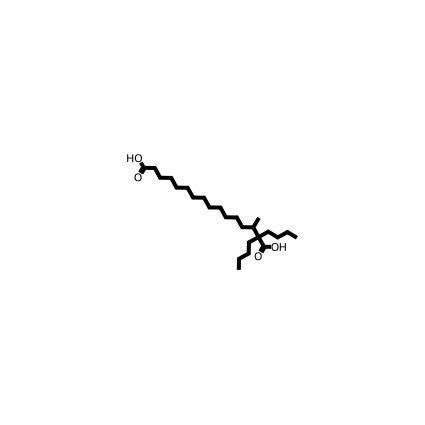 CCCCC(CCCC)(C(=O)O)C(C)CCCCCCCCCCCCC(=O)O